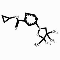 CC1(C)CB(c2cccc(C(=O)NC3CC3)c2)OC1(C)C